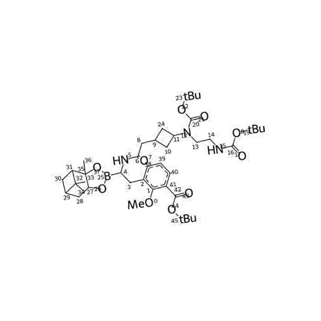 COc1c(CC(NC(=O)CC2CC(N(CCNC(=O)OC(C)(C)C)C(=O)OC(C)(C)C)C2)B2OC3CC4CC(C4(C)C)C3(C)O2)cccc1C(=O)OC(C)(C)C